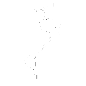 CNc1cccc(C#C/C=C2\CCN(C(=O)O)CC2(C)C)n1